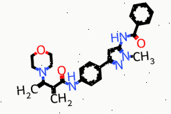 C=C(C(=C)N1CCOCC1)C(=O)Nc1ccc(-c2cc(NC(=O)c3ccccc3)n(C)n2)cc1